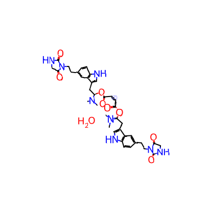 CN(C)C(Cc1c[nH]c2ccc(CCN3C(=O)CNC3=O)cc12)OC(=O)/C=C\C(=O)OC(Cc1c[nH]c2ccc(CCN3C(=O)CNC3=O)cc12)N(C)C.O